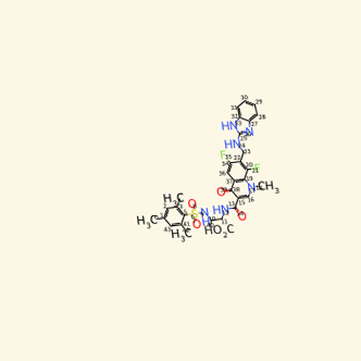 Cc1cc(C)c(S(=O)(=O)NC(CNC(=O)c2cn(C)c3c(F)c(CNc4nc5ccccc5[nH]4)c(F)cc3c2=O)C(=O)O)c(C)c1